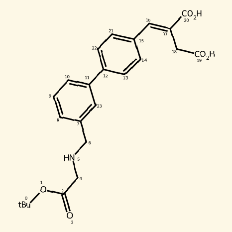 CC(C)(C)OC(=O)CNCc1cccc(-c2ccc(C=C(CC(=O)O)C(=O)O)cc2)c1